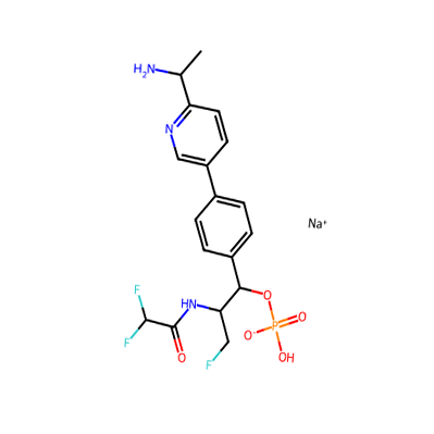 CC(N)c1ccc(-c2ccc(C(OP(=O)([O-])O)C(CF)NC(=O)C(F)F)cc2)cn1.[Na+]